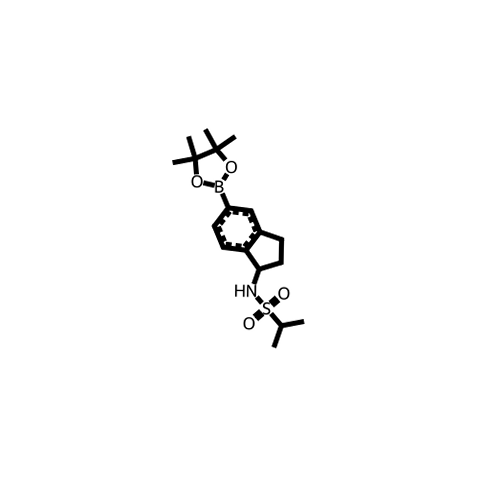 CC(C)S(=O)(=O)NC1CCc2cc(B3OC(C)(C)C(C)(C)O3)ccc21